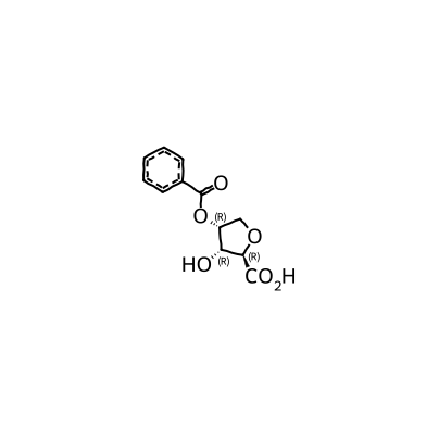 O=C(O[C@@H]1CO[C@@H](C(=O)O)[C@@H]1O)c1ccccc1